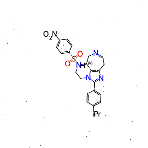 CC(C)c1ccc(-c2nc3c4n2CCN(S(=O)(=O)c2ccc([N+](=O)[O-])cc2)[C@@H]4CN=CC3)cc1